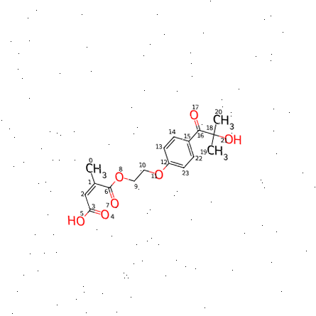 C/C(=C/C(=O)O)C(=O)OCCOc1ccc(C(=O)C(C)(C)O)cc1